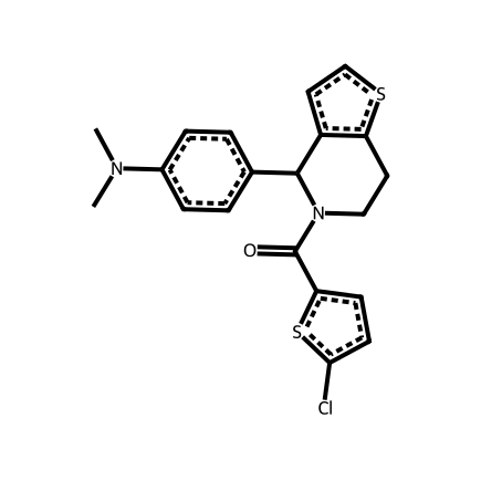 CN(C)c1ccc(C2c3ccsc3CCN2C(=O)c2ccc(Cl)s2)cc1